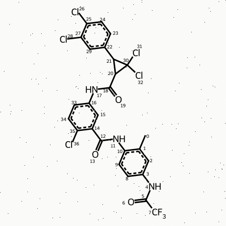 Cc1cc(NC(=O)C(F)(F)F)ccc1NC(=O)c1cc(NC(=O)C2C(c3ccc(Cl)c(Cl)c3)C2(Cl)Cl)ccc1Cl